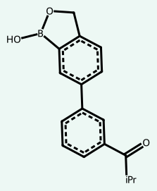 CC(C)C(=O)c1cccc(-c2ccc3c(c2)B(O)OC3)c1